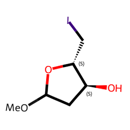 COC1C[C@H](O)[C@@H](CI)O1